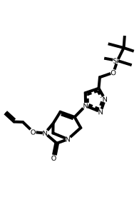 C=CCON1C(=O)N2CC(n3cc(CO[Si](C)(C)C(C)(C)C)nn3)=CC1C2